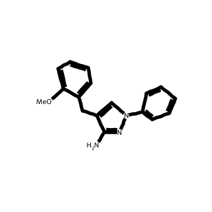 COc1ccccc1Cc1cn(-c2ccccc2)nc1N